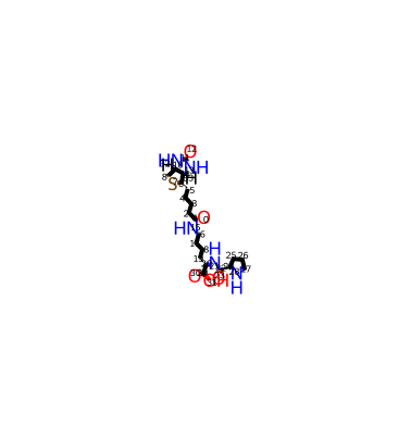 O=C(CCCC[C@@H]1SC[C@@H]2NC(=O)N[C@@H]21)NCCCC[C@H](NC(=O)[C@H]1CCCN1)C(=O)O